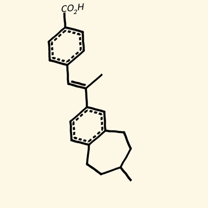 CC(=Cc1ccc(C(=O)O)cc1)c1ccc2c(c1)CCC(C)CC2